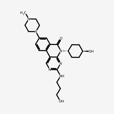 CN1CCN(c2ccc3c(c2)c(=O)n([C@H]2CC[C@H](O)CC2)c2nc(NCCCO)ncc32)CC1